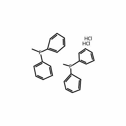 CP(c1ccccc1)c1ccccc1.CP(c1ccccc1)c1ccccc1.Cl.Cl